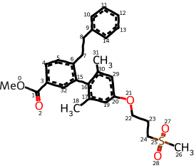 COC(=O)c1ccc(CCc2ccccc2)c(-c2c(C)cc(OCCCS(C)(=O)=O)cc2C)c1